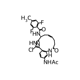 CC(=O)Nc1ccc2c(c1)NC(=O)CCC=CC[C@H](NC(=O)c1c(F)cc(C)cc1F)c1nc-2c(Cl)[nH]1